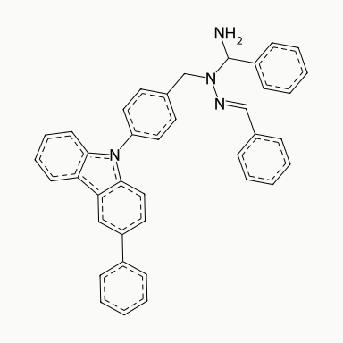 NC(c1ccccc1)N(Cc1ccc(-n2c3ccccc3c3cc(-c4ccccc4)ccc32)cc1)/N=C/c1ccccc1